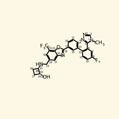 Cn1cnnc1-c1cc(F)ccc1-c1cccc(-c2nc3cc(CN[C@@H]4CC[C@@H]4O)cc(C(F)(F)F)c3o2)c1